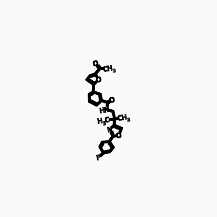 CC(=O)c1ccc(-c2cccc(C(=O)NCC(C)(C)c3coc(-c4ccc(F)cc4)n3)c2)o1